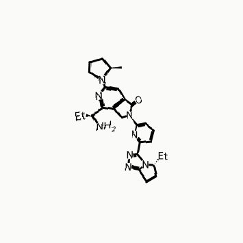 CC[C@@H]1CCc2nnc(-c3cccc(N4Cc5c(cc(N6CCC[C@H]6C)nc5[C@@H](N)CC)C4=O)n3)n21